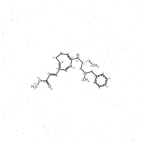 CC[C@H](CN(C)Cc1ccccc1)NC1=C/CC/C=C(\C=C\C(=O)OC)/C=N\1